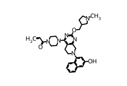 C=CC(=O)N1CCN(c2nc(OCC3CCN(C)C3)nc3c2CCN(c2cc(O)cc4ccccc24)C3)CC1